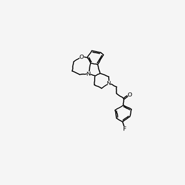 O=C(CCN1CCC2C(C1)c1cccc3c1N2CCCO3)c1ccc(F)cc1